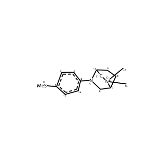 CSc1ccc(N2CC3CCC2C[N+]3(C)C)cc1